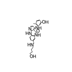 Cc1ccc(O)cc1Nc1ccnc2c1C(=O)Nc1cc(CNCCCCO)ccc1N2